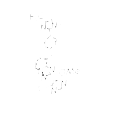 COc1ncnc(C2CC2)c1-c1nc2c(Cc3ccc(-c4nc(C(F)(F)F)cn4C)cc3)cccn2n1